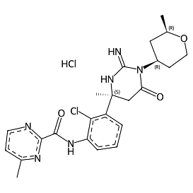 Cc1ccnc(C(=O)Nc2cccc([C@]3(C)CC(=O)N([C@@H]4CCO[C@H](C)C4)C(=N)N3)c2Cl)n1.Cl